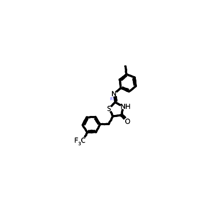 Cc1cccc(/N=C2\NC(=O)C(Cc3cccc(C(F)(F)F)c3)S2)c1